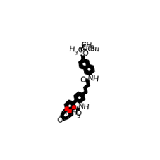 CN1C2CC(OC(=O)Nc3cc(CCCC(=O)Nc4ccc5cc(CO[Si](C)(C)C(C)(C)C)ccc5c4)ccc3-c3ccccc3)CC1C1OC12